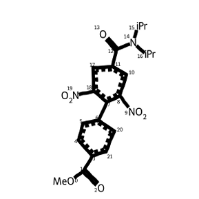 COC(=O)c1ccc(-c2c([N+](=O)[O-])cc(C(=O)N(C(C)C)C(C)C)cc2[N+](=O)[O-])cc1